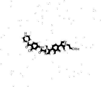 COCCn1ncc(-c2ccc(-c3cnc(C(=O)Nc4ccc(C(=O)N5CCNCC5)c(Cl)c4)n3C)c(C)c2F)c1C